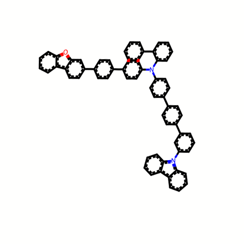 c1ccc(-c2ccccc2N(c2ccc(-c3ccc(-c4cccc(-n5c6ccccc6c6ccccc65)c4)cc3)cc2)c2ccc(-c3ccc(-c4ccc5c(c4)oc4ccccc45)cc3)cc2)cc1